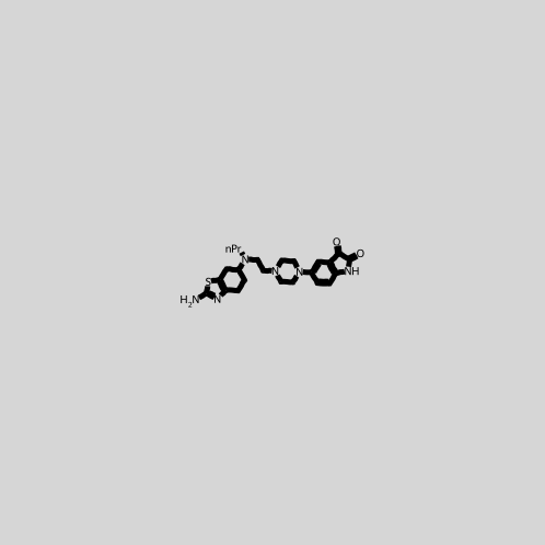 CCCN(CCN1CCN(c2ccc3c(c2)C(=O)C(=O)N3)CC1)C1CCc2nc(N)sc2C1